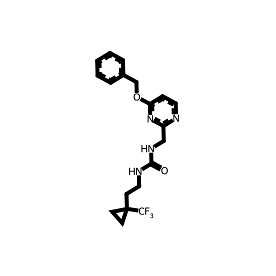 O=C(NCCC1(C(F)(F)F)CC1)NCc1nccc(OCc2ccccc2)n1